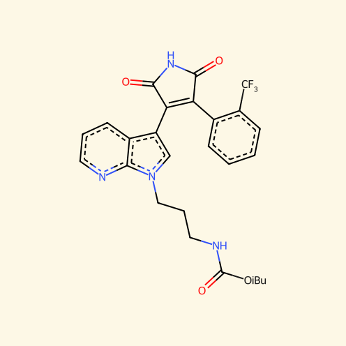 CC(C)COC(=O)NCCCn1cc(C2=C(c3ccccc3C(F)(F)F)C(=O)NC2=O)c2cccnc21